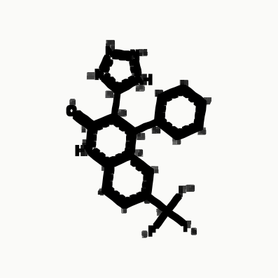 O=c1[nH]c2ccc(C(F)(F)F)cc2c(-c2ccccc2)c1-c1nnn[nH]1